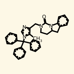 Cc1c(CN2CCC3Cc4ccccc4N3C2=O)ncn1C(c1ccccc1)(c1ccccc1)c1ccccc1